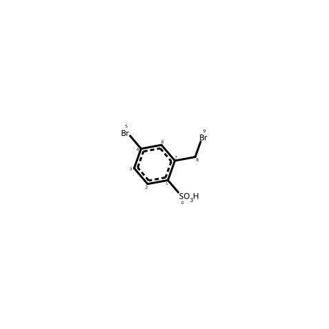 O=S(=O)(O)c1ccc(Br)cc1CBr